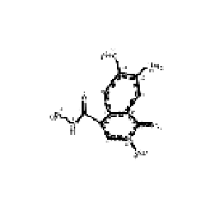 CCCCNC(=O)c1cn(C(C)(C)C)c(=O)c2cc(OC)c(OC)cc12